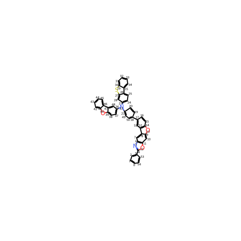 c1ccc(-c2nc3cc4c(cc3o2)oc2ccc(-c3ccc(N(c5ccc6c(c5)sc5ccccc56)c5ccc6oc7ccccc7c6c5)cc3)cc24)cc1